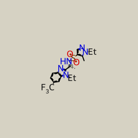 CCn1ncc(S(=O)(=O)N[C@H](C)c2nc3ccc(C(F)(F)F)cc3n2CC)c1C